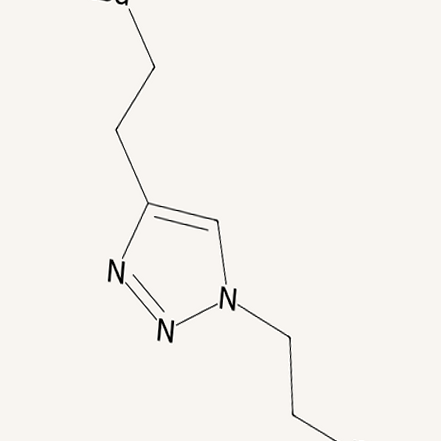 CC(C)CCn1cc(CCC(C)(C)C)nn1